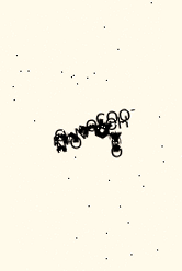 C[N+]1(C)CCO[C@@H](CC(=O)N2CC(Oc3ccc([C@H]4C[C@H]4B=O)c(O)c3C(=O)[O-])C2)C1